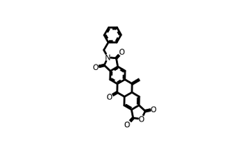 C=C1c2cc3c(cc2C(=O)C2C=C4C(=O)OC(=O)C4=CC12)C(=O)N(Cc1ccccc1)C3=O